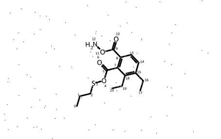 CCCSOC(=O)c1c(C(=O)ON)ccc(CC)c1CC